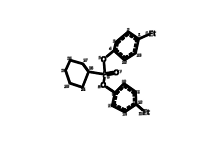 CCc1ccc(OP(=O)(Oc2ccc(CC)cc2)C2CCCCC2)cc1